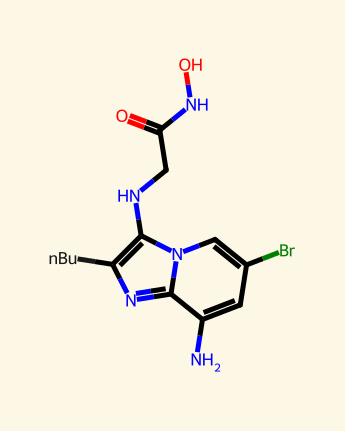 CCCCc1nc2c(N)cc(Br)cn2c1NCC(=O)NO